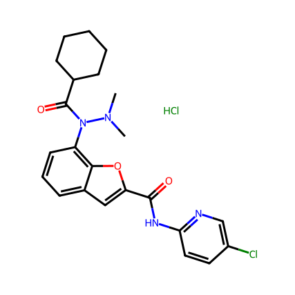 CN(C)N(C(=O)C1CCCCC1)c1cccc2cc(C(=O)Nc3ccc(Cl)cn3)oc12.Cl